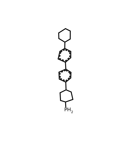 PC1CCC(c2ccc(-c3ccc(C4CCCCC4)cc3)cc2)CC1